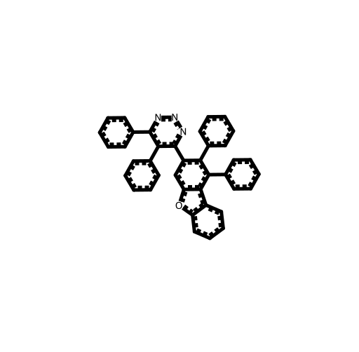 c1ccc(-c2nnnc(-c3cc4oc5ccccc5c4c(-c4ccccc4)c3-c3ccccc3)c2-c2ccccc2)cc1